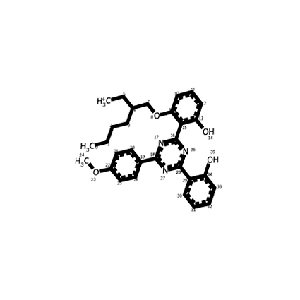 CCCCC(CC)COc1cccc(O)c1-c1nc(-c2ccc(OC)cc2)nc(-c2ccccc2O)n1